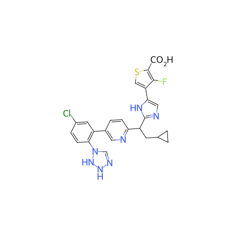 O=C(O)c1scc(-c2cnc(C(CC3CC3)c3ccc(-c4cc(Cl)ccc4N4C=NNN4)cn3)[nH]2)c1F